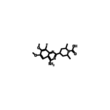 COc1cc2c(N)nc(C3CC(C)N(C(=O)O)C(C)C3)nc2c(F)c1OC